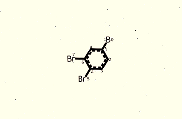 [B]c1ccc(Br)c(Br)c1